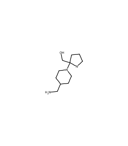 NCC1CCN(C2(CO)CCC[N]2)CC1